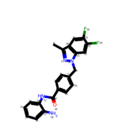 Cc1nn(Cc2ccc(C(=O)Nc3ccccc3N)cc2)c2cc(F)c(F)cc12